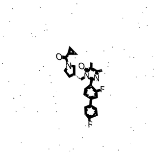 Cc1nc(-c2ccc(-c3ccc(F)cc3)cc2F)n(C[C@@H]2CCN(C(=O)C3CC3)C2)c(=O)c1C